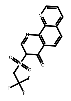 O=C1c2ccc3cccnc3c2N=CC1S(=O)(=O)CC(F)(F)F